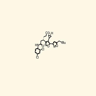 CC(C)(C)Cc1cc(-c2onc([C@@H](CCC(=O)O)CC(=O)Nc3ccc(Cl)cc3Cl)c2C2CC2)no1